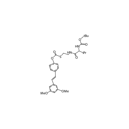 COc1cc(/C=C/c2ccc(OC(=O)SCCNC(=O)C(NC(=O)OC(C)(C)C)C(C)C)cc2)cc(OC)c1